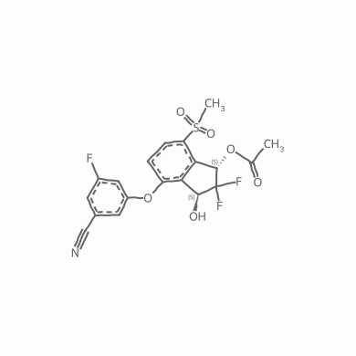 CC(=O)O[C@H]1c2c(S(C)(=O)=O)ccc(Oc3cc(F)cc(C#N)c3)c2[C@H](O)C1(F)F